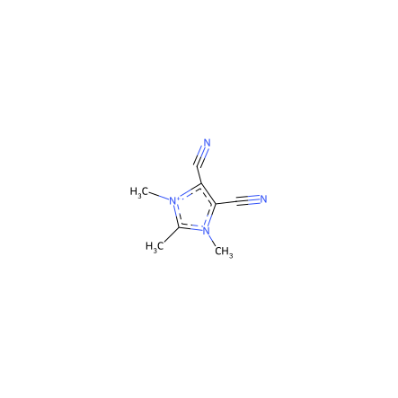 Cc1n(C)c(C#N)c(C#N)[n+]1C